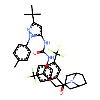 Cc1ccc(-n2nc(C(C)(C)C)cc2NC(=O)Nc2cccc(CC3CC4CCC(C3)N4C(=O)c3cc(C(F)(F)F)cc(C(F)(F)F)c3)c2)cc1